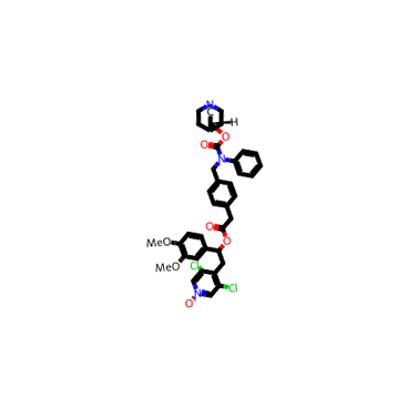 COc1ccc(C(Cc2c(Cl)c[n+]([O-])cc2Cl)OC(=O)Cc2ccc(CN(C(=O)O[C@H]3CN4CCC3CC4)c3ccccc3)cc2)cc1OC